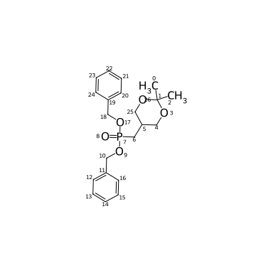 CC1(C)OCC(CP(=O)(OCc2ccccc2)OCc2ccccc2)CO1